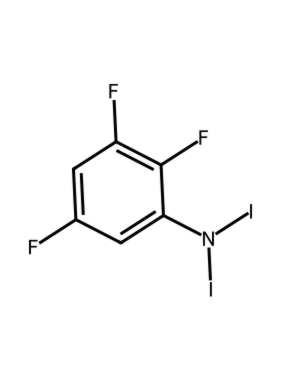 Fc1cc(F)c(F)c(N(I)I)c1